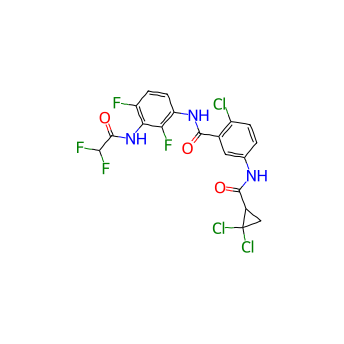 O=C(Nc1ccc(F)c(NC(=O)C(F)F)c1F)c1cc(NC(=O)C2CC2(Cl)Cl)ccc1Cl